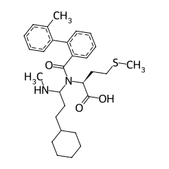 CNC(CCC1CCCCC1)N(C(=O)c1ccccc1-c1ccccc1C)[C@@H](CCSC)C(=O)O